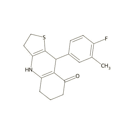 Cc1cc(C2C3=C(CCS3)NC3=C2C(=O)CCC3)ccc1F